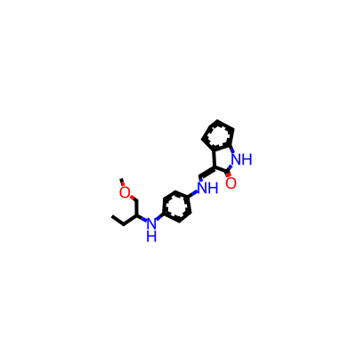 CCC(COC)Nc1ccc(NC=C2C(=O)Nc3ccccc32)cc1